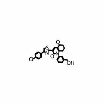 O=C1CCCc2c1cc(-c1nc(-c3ccc(Cl)cc3)cs1)c(=O)n2-c1cccc(CO)c1